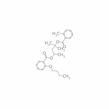 CCCCOc1ccccc1C(=O)OC(C)CC(C)(C)OC(=O)c1ccccc1C